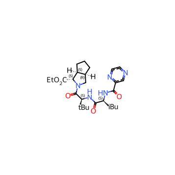 CCOC(=O)[C@@H]1[C@H]2CCC[C@H]2CN1C(=O)[C@@H](NC(=O)[C@@H](NC(=O)c1cnccn1)C(C)CC)C(C)(C)C